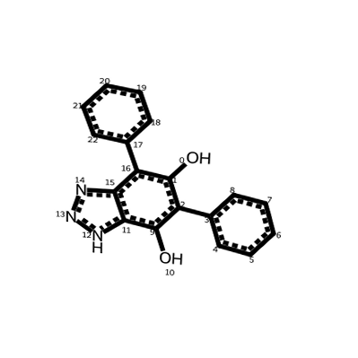 Oc1c(-c2ccccc2)c(O)c2[nH]nnc2c1-c1ccccc1